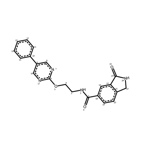 O=C(NCCOc1ncc(-c2ccccc2)cn1)c1ccc2c(c1)C(=O)NC2